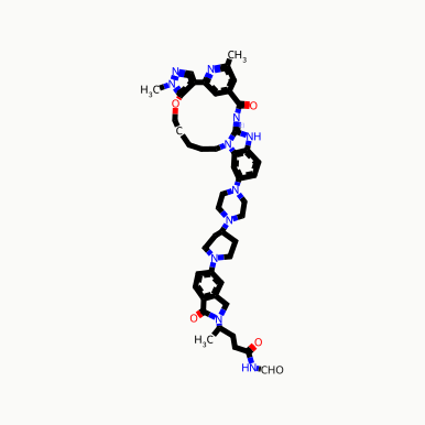 Cc1cc2cc(n1)-c1cnn(C)c1OCCCCCN1/C(=N/C2=O)Nc2ccc(N3CCN(C4CCN(c5ccc6c(c5)CN(C(C)CCC(=O)NC=O)C6=O)CC4)CC3)cc21